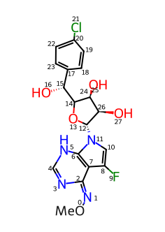 CON=c1nc[nH]c2c1c(F)cn2[C@@H]1OC([C@H](O)c2ccc(Cl)cc2)[C@@H](O)[C@H]1O